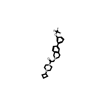 O=C(CN1CCc2cc(-c3cccc(OC(F)(F)F)c3)ccc2C1)N1CCN(C2CCC2)CC1